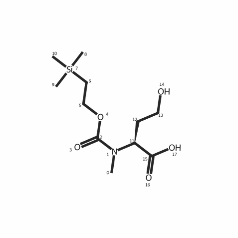 CN(C(=O)OCC[Si](C)(C)C)[C@@H](CCO)C(=O)O